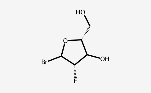 OC[C@H]1OC(Br)[C@@H](F)C1O